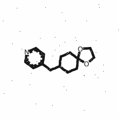 c1cc(CC2CCC3(CC2)OCCO3)ccn1